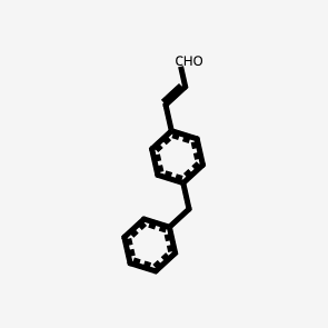 O=CC=Cc1ccc(Cc2ccccc2)cc1